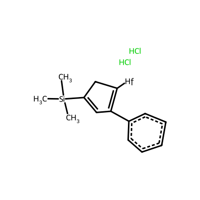 C[Si](C)(C)C1=CC(c2ccccc2)=[C]([Hf])C1.Cl.Cl